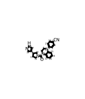 N#Cc1ccc(N2CCN(C(=O)N3CC[C@@H](c4cn[nH]c4)C3)c3ccccc32)cc1